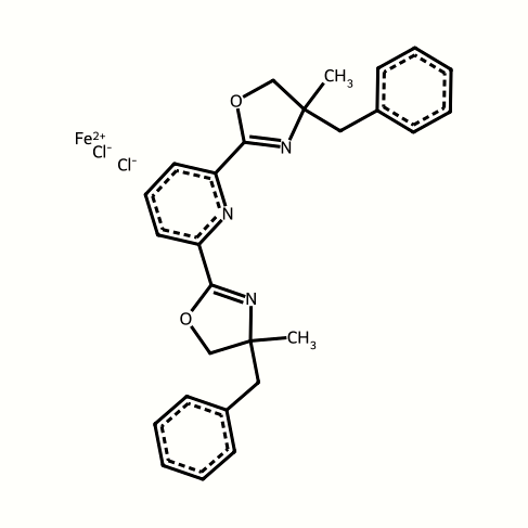 CC1(Cc2ccccc2)COC(c2cccc(C3=NC(C)(Cc4ccccc4)CO3)n2)=N1.[Cl-].[Cl-].[Fe+2]